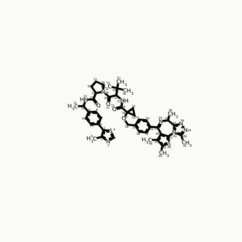 Cc1ncsc1-c1ccc(C(C)NC(=O)C2CCCN2C(=O)C(NC(=O)C2(OCc3ccc(C4=NC(C)c5nnc(C)n5-c5sc(C)c(C)c54)cc3)CC2)C(C)(C)C)cc1